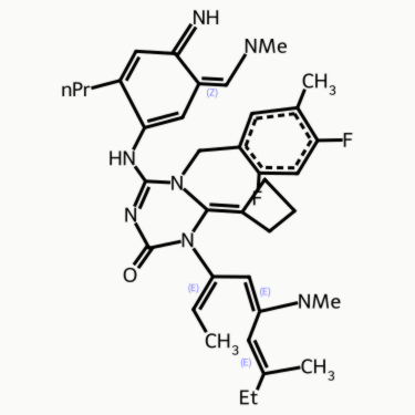 C\C=C(/C=C(\C=C(/C)CC)NC)N1C(=O)N=C(NC2=C/C(=C/NC)C(=N)C=C2CCC)N(Cc2cc(C)c(F)cc2F)C1=C1CCC1